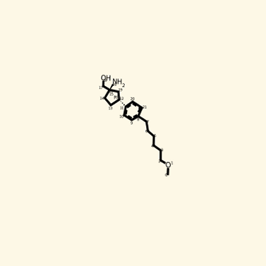 COCCCCCCc1ccc([C@@H]2CC[C@](N)(CO)C2)cc1